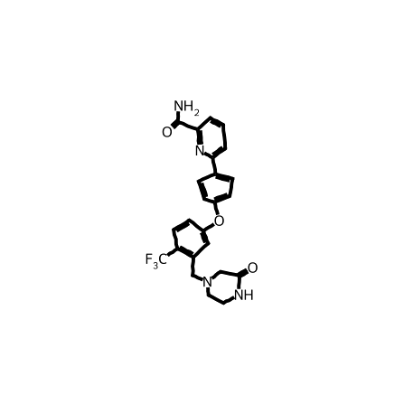 NC(=O)c1cccc(-c2ccc(Oc3ccc(C(F)(F)F)c(CN4CCNC(=O)C4)c3)cc2)n1